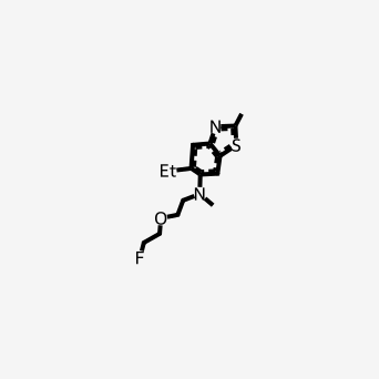 CCc1cc2nc(C)sc2cc1N(C)CCOCCF